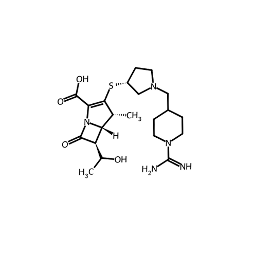 CC(O)[C@H]1C(=O)N2C(C(=O)O)=C(S[C@@H]3CCN(CC4CCN(C(=N)N)CC4)C3)[C@H](C)[C@H]12